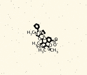 COC(=O)C1=C(C)NC(C)=C(C(=O)OC(CN(C)Cc2ccccc2)c2nccs2)C1c1cccc([N+](=O)[O-])c1